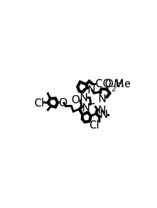 COc1ccnc(Cn2c(C(=O)O)cc3cccc(N4C[C@@H](C)n5c(c(CCCOc6cc(C)c(Cl)c(C)c6)c6ccc(Cl)c(-c7c(C)nn(C)c7C)c65)C4=O)c32)c1